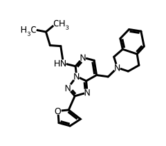 CC(C)CCNc1ncc(CN2CCc3ccccc3C2)c2nc(-c3ccco3)nn12